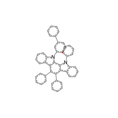 c1ccc(-c2cccc(-n3c4ccccc4c4c(-c5ccccc5)c(-c5ccccc5)c5c6ccccc6n(-c6ccccc6)c5c43)c2)cc1